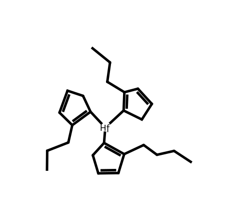 CCCCC1=[C]([Hf]([C]2=C(CCC)C=CC2)[C]2=C(CCC)C=CC2)CC=C1